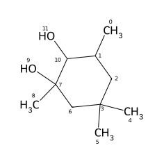 CC1CC(C)(C)CC(C)(O)C1O